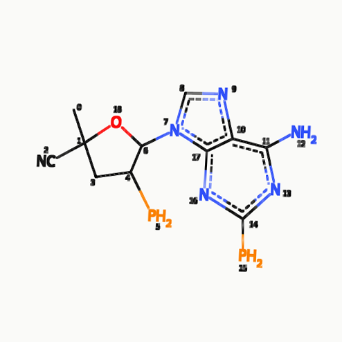 CC1(C#N)CC(P)C(n2cnc3c(N)nc(P)nc32)O1